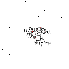 NC(=O)[C@@H]1C[C@@H](O)CN1C(=O)c1cc(Cl)ccc1OCC(=O)N1[C@@H]2CC[C@H]1CC(Oc1ccc(F)cc1)C2